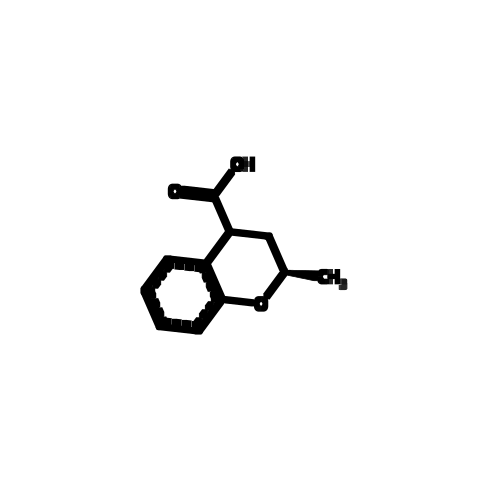 C[C@@H]1CC(C(=O)O)c2ccccc2O1